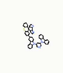 c1ccc2c(c1)Sc1ccc(-c3ccc4c(c3)c3ccccc3n4-c3cncc(-n4c5ccccc5c5ccccc54)c3)cc1C21c2cccnc2-c2ncccc21